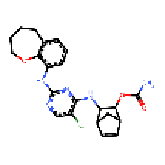 NC(=O)OC1C2C=CC(C2)C1Nc1nc(Nc2cccc3c2OCCCC3)ncc1Cl